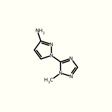 Cn1ncnc1-n1ccc(N)n1